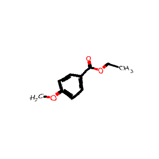 [CH2]Oc1ccc(C(=O)OCC)cc1